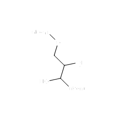 CCCCCOCC(O)C(O)CCCCC